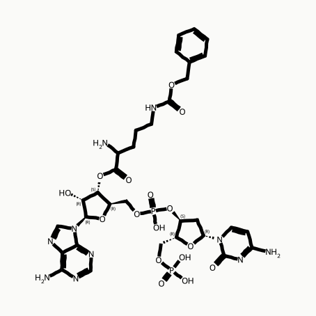 Nc1ccn([C@H]2C[C@H](OP(=O)(O)OC[C@H]3O[C@@H](n4cnc5c(N)ncnc54)[C@H](O)[C@@H]3OC(=O)C(N)CCCNC(=O)OCc3ccccc3)[C@@H](COP(=O)(O)O)O2)c(=O)n1